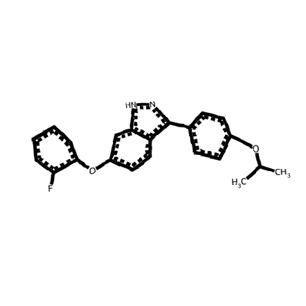 CC(C)Oc1ccc(-c2n[nH]c3cc(Oc4ccccc4F)ccc23)cc1